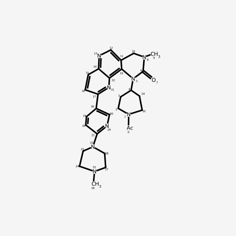 CC(=O)N1CCC(N2C(=O)N(C)Cc3cnc4ccc(-c5ccc(N6CCN(C)CC6)nc5)nc4c32)CC1